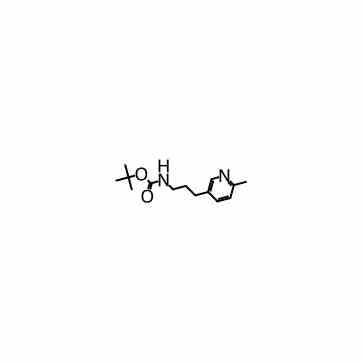 Cc1ccc(CCCNC(=O)OC(C)(C)C)cn1